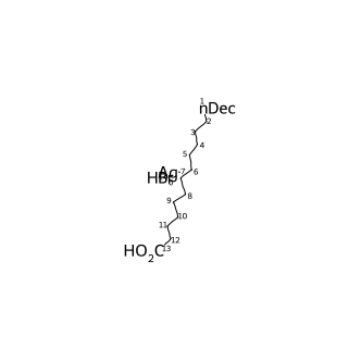 Br.CCCCCCCCCCCCCCCCCCCCCC(=O)O.[Ag]